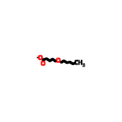 CCCCCCOCCCCC([O])=O